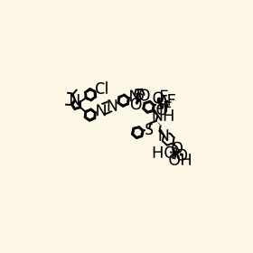 Cc1cc(-c2cccc(N3CCN(c4ccc(N5CCO[P@@]5(=O)c5ccc(N[C@H](CCN6CCC(OP(=O)(O)O)CC6)CSc6ccccc6)c(S(=O)(=O)C(F)(F)F)c5)cc4)CC3)c2)c(-c2ccc(Cl)cc2)n1C(C)C